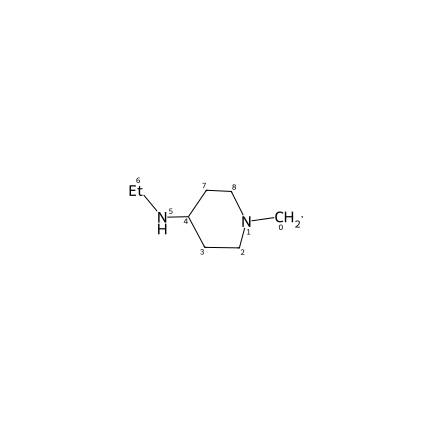 [CH2]N1CCC(NCC)CC1